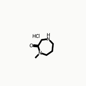 CN1CCCNCC1=O.Cl